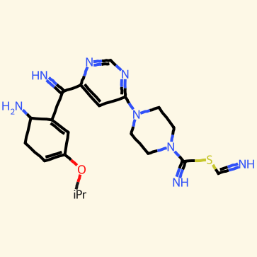 CC(C)OC1=CCC(N)C(C(=N)c2cc(N3CCN(C(=N)SC=N)CC3)ncn2)=C1